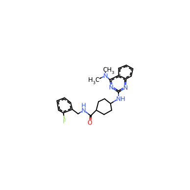 CN(C)c1nc(NC2CCC(C(=O)NCc3ccccc3F)CC2)nc2ccccc12